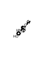 C[Si](C)(C)CCOCn1ccc2c(NC3CCC(O)CC3)ncnc21